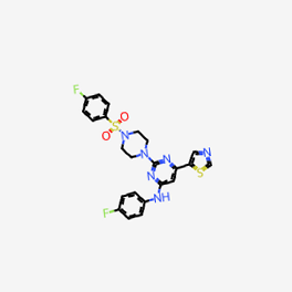 O=S(=O)(c1ccc(F)cc1)N1CCN(c2nc(Nc3ccc(F)cc3)cc(-c3cncs3)n2)CC1